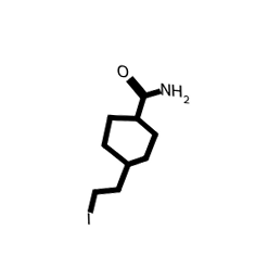 NC(=O)C1CCC(CCI)CC1